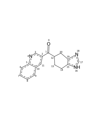 O=C(c1cnc2ccccc2c1)C1CCc2[nH]cnc2C1